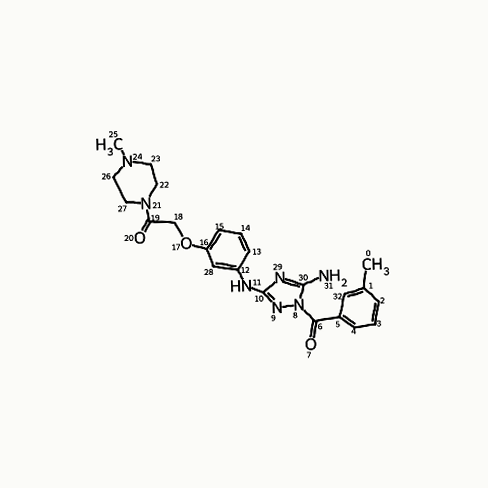 Cc1cccc(C(=O)n2nc(Nc3cccc(OCC(=O)N4CCN(C)CC4)c3)nc2N)c1